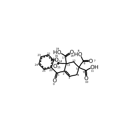 O=C(C1=CCC(C(=O)O)(C(=O)O)CC1(C(=O)O)C(=O)O)c1ccccc1